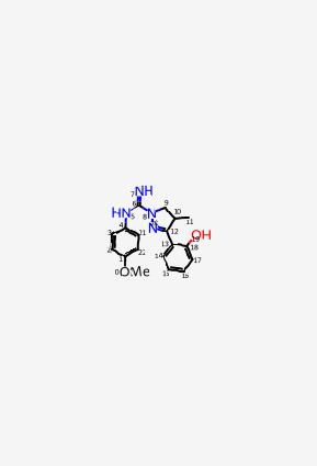 COc1ccc(NC(=N)N2CC(C)C(c3ccccc3O)=N2)cc1